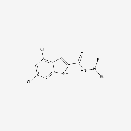 CCN(CC)NC(=O)c1cc2c(Cl)cc(Cl)cc2[nH]1